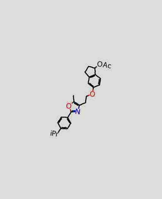 CC(=O)OC1CCc2cc(OCCc3nc(-c4ccc(C(C)C)cc4)oc3C)ccc21